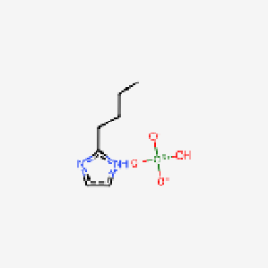 CCCCc1ncc[nH]1.[O-][Cl+3]([O-])([O-])O